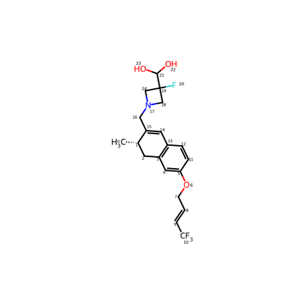 C[C@H]1Cc2cc(OC/C=C/C(F)(F)F)ccc2C=C1CN1CC(F)(C(O)O)C1